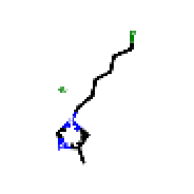 Br.Cc1cn(CCCCCCBr)cn1